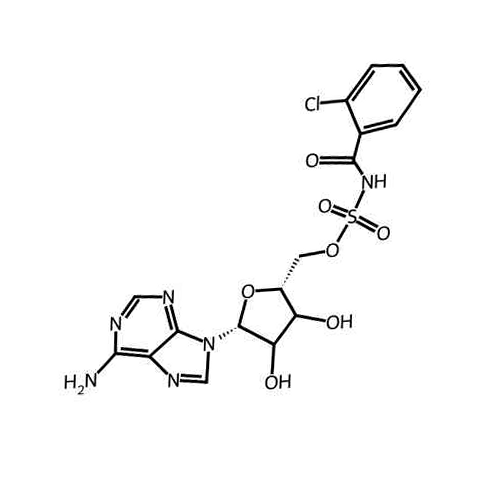 Nc1ncnc2c1ncn2[C@@H]1O[C@H](COS(=O)(=O)NC(=O)c2ccccc2Cl)C(O)C1O